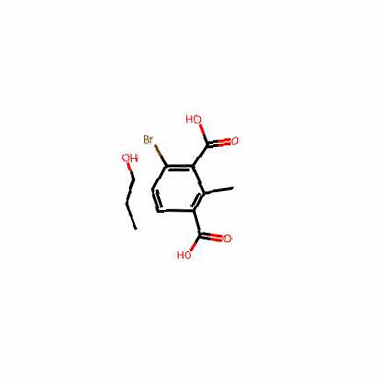 CCCO.Cc1c(C(=O)O)ccc(Br)c1C(=O)O